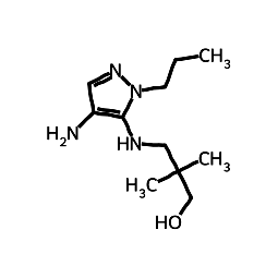 CCCn1ncc(N)c1NCC(C)(C)CO